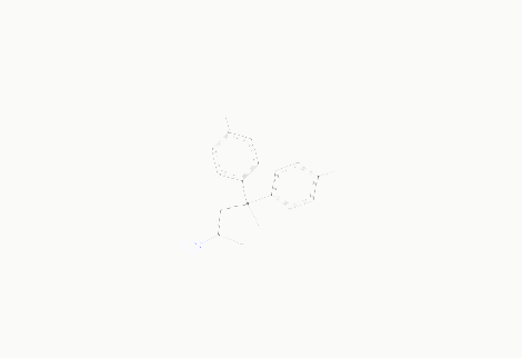 NC1CCC(c2ccc(Cl)cc2)(c2ccc(Cl)cc2)C1